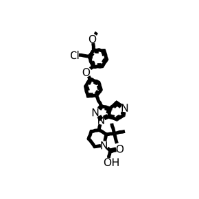 COc1cccc(Oc2ccc(-c3nn(C4CCCN(C(=O)O)C4C(C)(C)C)c4ccncc34)cc2)c1Cl